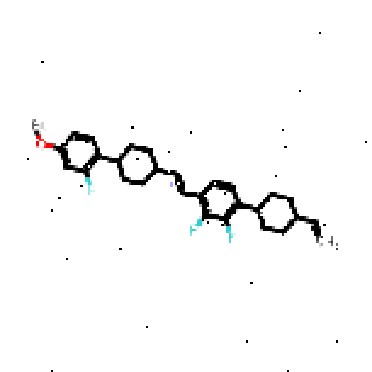 C=CC1CCC(c2ccc(/C=C/C3CCC(c4ccc(OCC)cc4F)CC3)c(F)c2F)CC1